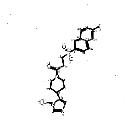 Cn1cncc1C1CCN(C(=O)CCS(=O)(=O)c2ccc3cc(Cl)ccc3c2)CC1